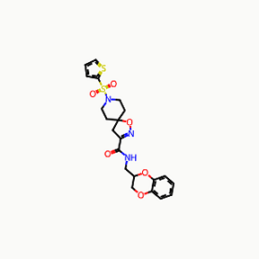 O=C(NCC1COc2ccccc2O1)C1=NOC2(CCN(S(=O)(=O)c3cccs3)CC2)C1